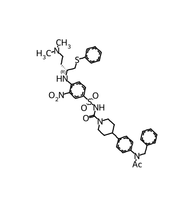 CC(=O)N(Cc1ccccc1)c1ccc(C2CCN(C(=O)NS(=O)(=O)c3ccc(N[C@H](CCN(C)C)CSc4ccccc4)c([N+](=O)[O-])c3)CC2)cc1